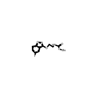 CC(C)(C)OC(=O)NCCOc1noc2ccc(F)cc12